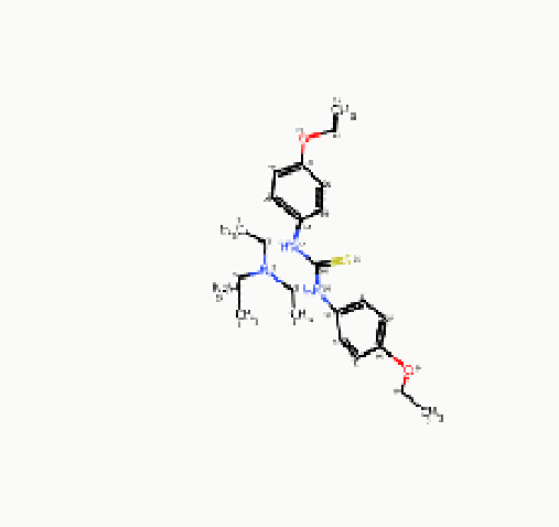 CCN(CC)CC.CCOc1ccc(NC(=S)Nc2ccc(OCC)cc2)cc1.[NaH]